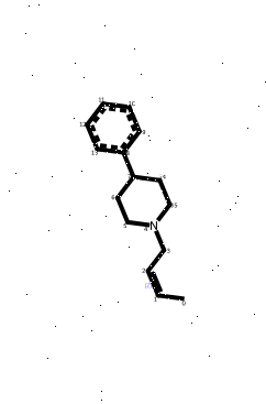 C/C=C\CN1CCC(c2ccccc2)CC1